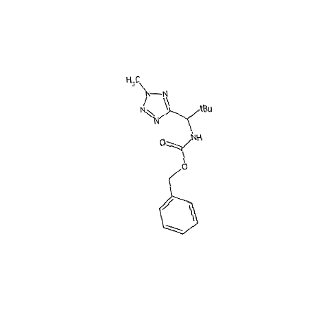 Cn1nnc(C(NC(=O)OCc2ccccc2)C(C)(C)C)n1